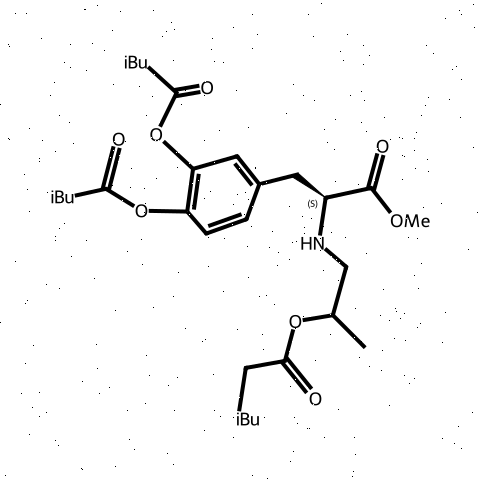 CCC(C)CC(=O)OC(C)CN[C@@H](Cc1ccc(OC(=O)C(C)CC)c(OC(=O)C(C)CC)c1)C(=O)OC